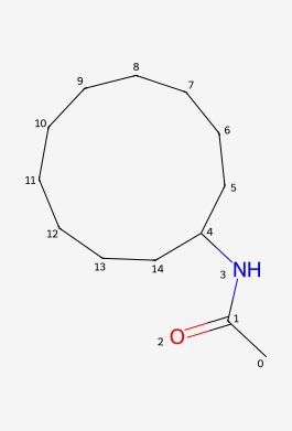 CC(=O)NC1CCCCCCCCCC1